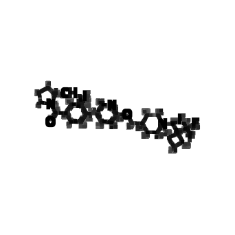 C[C@H]1CCCN1C(=O)c1ccc(-c2ccc(OCC3CCN(CC4(C(F)(F)F)CCC4)CC3)nc2)c(F)c1